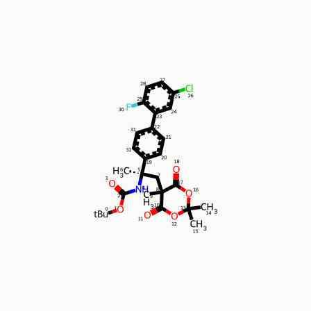 CC(C)(C)OC(=O)N[C@](C)(CC1(C)C(=O)OC(C)(C)OC1=O)c1ccc(-c2cc(Cl)ccc2F)cc1